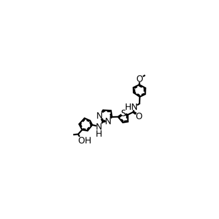 COc1ccc(CNC(=O)c2ccc(-c3ccnc(Nc4cccc(C(C)O)c4)n3)s2)cc1